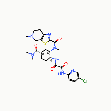 CN1CCc2nc(C(=O)N(C)[C@@H]3C[C@@H](C(=O)N(C)C)CC[C@@H]3NC(=O)C(=O)Nc3ccc(Cl)cn3)sc2C1